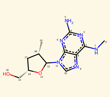 CNc1nc(N)nc2c1ncn2C1O[C@H](CO)C[C@@H]1C